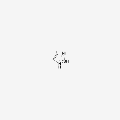 B1NC=CN1